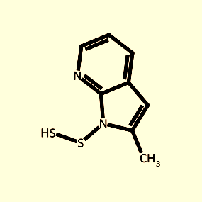 Cc1cc2cccnc2n1SS